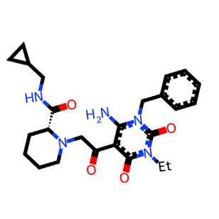 CCn1c(=O)c(C(=O)CN2CCCC[C@@H]2C(=O)NCC2CC2)c(N)n(Cc2ccccc2)c1=O